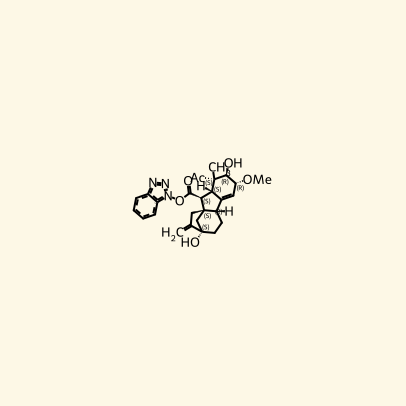 C=C1C[C@]23C[C@@]1(O)CC[C@H]2C1=C[C@@H](OC)[C@H](O)[C@@](C)(C(C)=O)[C@H]1[C@@H]3C(=O)On1nnc2ccccc21